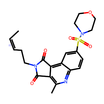 C/C=C\CCN1C(=O)c2c(C)nc3ccc(S(=O)(=O)N4CCOCC4)cc3c2C1=O